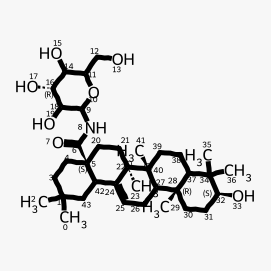 CC1(C)CC[C@]2(C(=O)NC3OC(CO)C(O)[C@@H](O)C3O)CC[C@]3(C)C(=CCC4[C@@]5(C)CC[C@H](O)C(C)(C)C5CC[C@]43C)C2C1